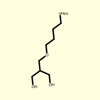 CCCCCCCCCCOCC(CO)CO